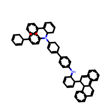 C1=CCC(c2ccc(N(C3=CC=C(c4ccc(NC5C=CC=CC5C5C=c6ccccc6=C6C=Cc7ccccc7C65)cc4)CC3)C3CC=CC=C3c3ccccc3)cc2)C=C1